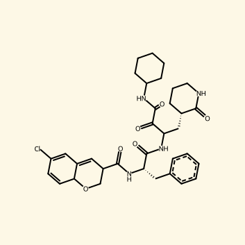 O=C(NC1CCCCC1)C(=O)C(C[C@@H]1CCCNC1=O)NC(=O)[C@H](Cc1ccccc1)NC(=O)C1C=C2C=C(Cl)C=CC2OC1